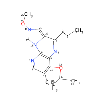 CCCC1=Nc2c(ncc(C)c2OC(C)C)N2CN(OC)C=C12